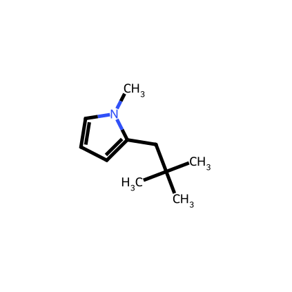 Cn1cccc1CC(C)(C)C